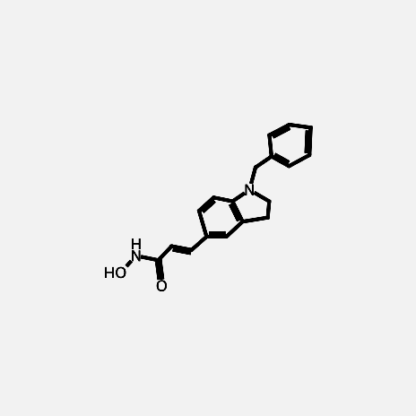 O=C(/C=C/c1ccc2c(c1)CCN2Cc1ccccc1)NO